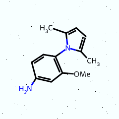 COc1cc(N)ccc1-n1c(C)ccc1C